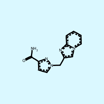 NC(=O)c1[c]cn(Cc2cn3ccccc3n2)n1